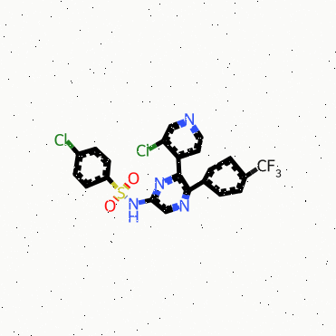 O=S(=O)(Nc1cnc(-c2ccc(C(F)(F)F)cc2)c(-c2ccncc2Cl)n1)c1ccc(Cl)cc1